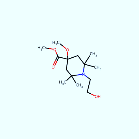 COC(=O)C1(OC)CC(C)(C)N(CCO)C(C)(C)C1